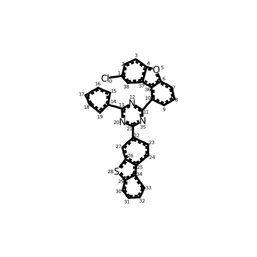 Clc1ccc2oc3cccc(-c4nc(-c5ccccc5)nc(-c5ccc6c(c5)sc5ccccc56)n4)c3c2c1